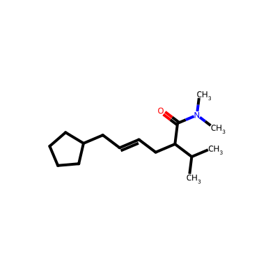 CC(C)C(C/C=C/CC1CCCC1)C(=O)N(C)C